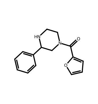 O=C(c1ccco1)N1CCNC(c2ccccc2)C1